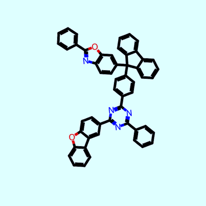 c1ccc(-c2nc(-c3ccc(C4(c5ccc6nc(-c7ccccc7)oc6c5)c5ccccc5-c5ccccc54)cc3)nc(-c3ccc4oc5ccccc5c4c3)n2)cc1